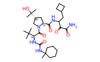 CC1(NC(=O)N[C@H](C(=O)N2C[C@H](C(C)(C)O)C[C@H]2C(=O)NC(CC2CCC2)C(=O)C(N)=O)C(C)(C)C)CCCCC1